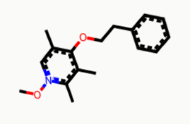 CO[n+]1cc(C)c(OCCc2ccccc2)c(C)c1C